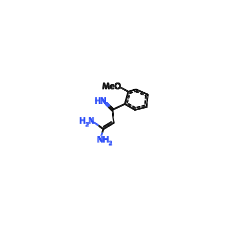 COc1ccccc1C(=N)C=C(N)N